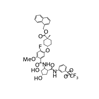 COc1cc(F)c(O[C@H]2CC[C@@](C)(C(=O)OCc3cccc4ccccc34)CC2)cc1C(=O)N[C@@H]1[C@@H](O)[C@@H](O)C[C@@H]1C(=O)Nc1cccc(S(=O)(=O)C(F)(F)F)c1